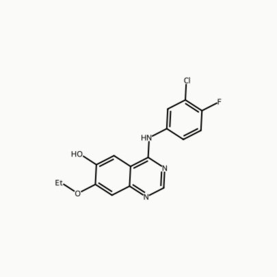 CCOc1cc2ncnc(Nc3ccc(F)c(Cl)c3)c2cc1O